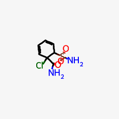 NC(=O)C1(Cl)C=CC=CC1S(N)(=O)=O